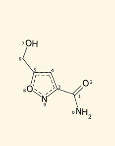 NC(=O)c1cc(CO)on1